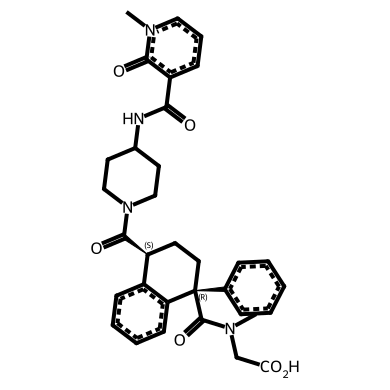 CN(CC(=O)O)C(=O)[C@@]1(c2ccccc2)CC[C@H](C(=O)N2CCC(NC(=O)c3cccn(C)c3=O)CC2)c2ccccc21